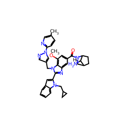 COc1cc(C(=O)N2CC3CCC2[C@@H]3N)cc2nc(-c3cc4ccccc4n3CC3CC3)n(Cc3cnn(-c4ccc(C)cn4)c3)c12